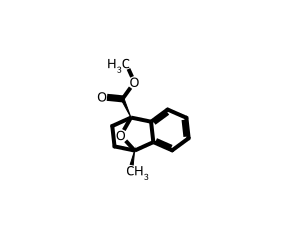 COC(=O)[C@]12CC[C@](C)(O1)c1ccccc12